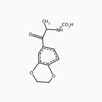 CC(NC(=O)O)C(=O)c1ccc2c(c1)OCCO2